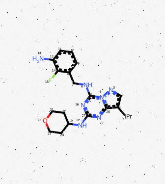 CC(C)c1cnn2c(NCc3cccc(N)c3F)nc(NC3CCOCC3)nc12